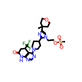 CC1(c2cn(CCOS(C)(=O)=O)c(C3CCN(c4ncnc5c4C(C(F)(F)F)CC(=O)N5)CC3)n2)CCOCC1